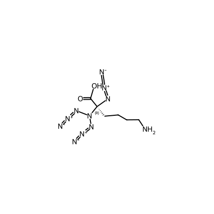 [N-]=[N+]=NN(N=[N+]=[N-])[C@](CCCCN)(N=[N+]=[N-])C(=O)O